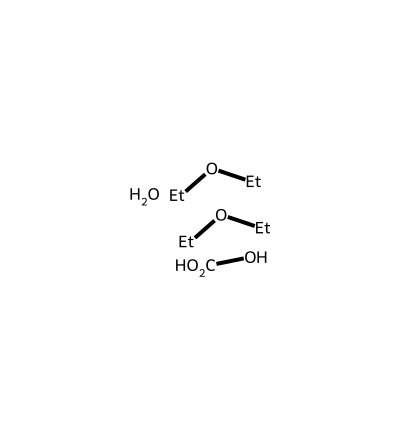 CCOCC.CCOCC.O.O=C(O)O